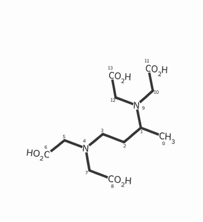 CC(CCN(CC(=O)O)CC(=O)O)N(CC(=O)O)CC(=O)O